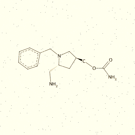 NC[C@H]1C[C@H](COC(N)=O)CN1Cc1ccccc1